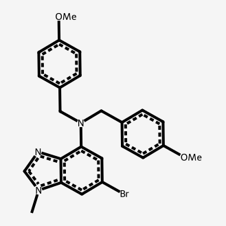 COc1ccc(CN(Cc2ccc(OC)cc2)c2cc(Br)cc3c2ncn3C)cc1